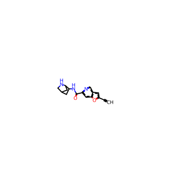 C#Cc1cc2cnc(C(=O)NC3CC4CNC3C4)cc2o1